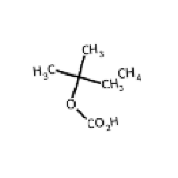 C.CC(C)(C)OC(=O)O